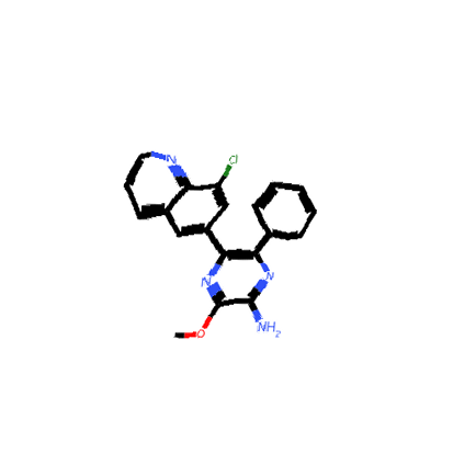 COc1nc(-c2cc(Cl)c3ncccc3c2)c(-c2ccccc2)nc1N